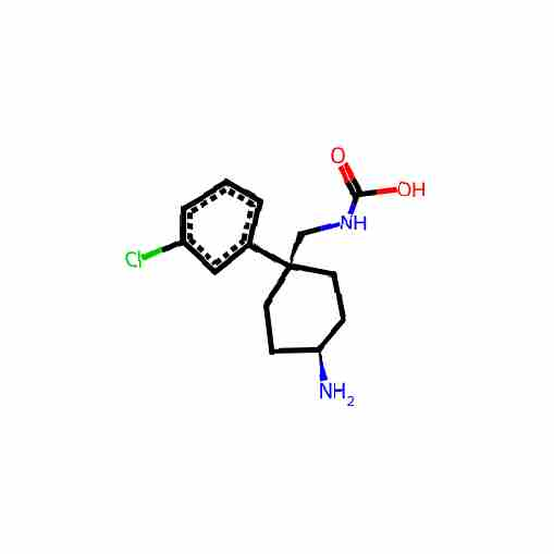 N[C@H]1CC[C@](CNC(=O)O)(c2cccc(Cl)c2)CC1